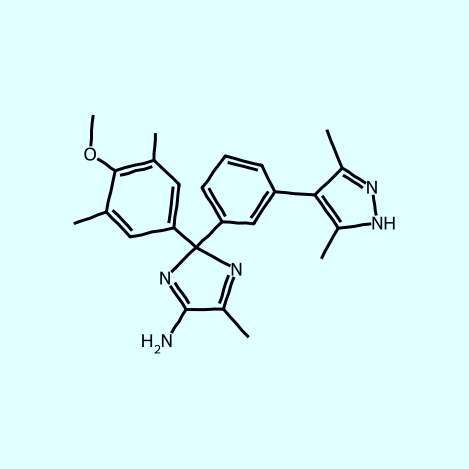 COc1c(C)cc(C2(c3cccc(-c4c(C)n[nH]c4C)c3)N=C(C)C(N)=N2)cc1C